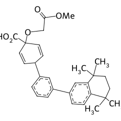 COC(=O)COC1(C(=O)O)C=CC(c2cccc(-c3ccc4c(c3)C(C)(C)CCC4(C)C)c2)C=C1